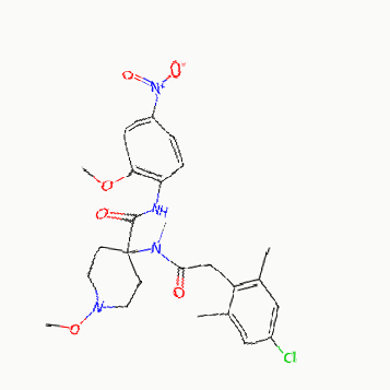 COc1cc([N+](=O)[O-])ccc1NC(=O)C1(N(C)C(=O)Cc2c(C)cc(Cl)cc2C)CCN(OC)CC1